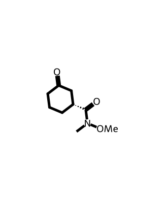 CON(C)C(=O)[C@@H]1CCCC(=O)C1